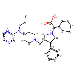 CCCN(c1cnccn1)C1CCN(CC2CN(C(C(=O)O)C3CCCCC3)CC2c2ccccc2)CC1